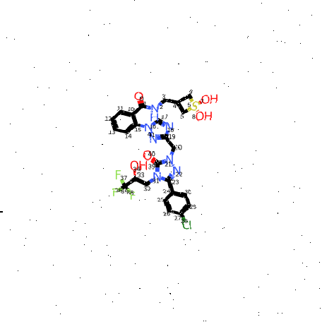 O=C(NCC1CS(O)(O)C1)c1ccccc1-n1cnc(Cn2nc(-c3ccc(Cl)cc3)n(C[C@H](O)C(F)(F)F)c2=O)n1